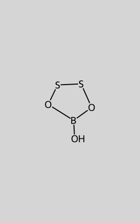 OB1OSSO1